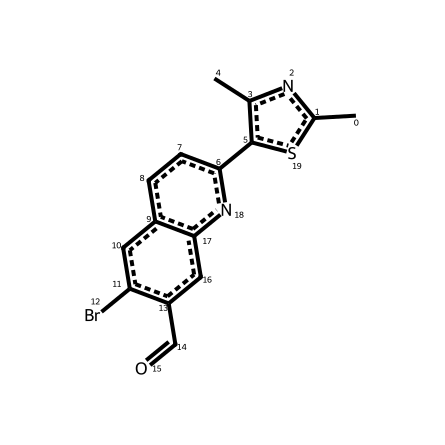 Cc1nc(C)c(-c2ccc3cc(Br)c(C=O)cc3n2)s1